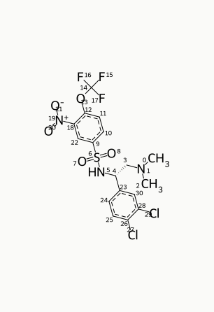 CN(C)C[C@@H](NS(=O)(=O)c1ccc(OC(F)(F)F)c([N+](=O)[O-])c1)c1ccc(Cl)c(Cl)c1